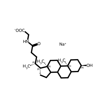 C[C@H](CCC(=O)NCC(=O)[O-])[C@H]1CCC2C3CCC4C[C@H](O)CC[C@]4(C)C3CC[C@@]21C.[Na+]